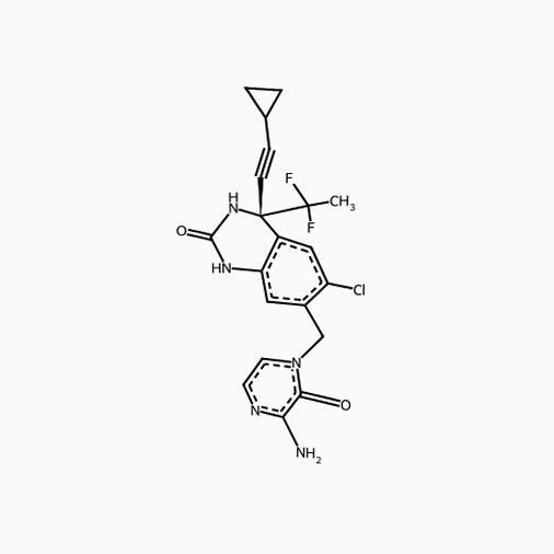 CC(F)(F)[C@@]1(C#CC2CC2)NC(=O)Nc2cc(Cn3ccnc(N)c3=O)c(Cl)cc21